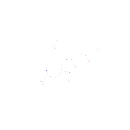 COC(=O)Oc1ccc(C[C@H](N)C(N)=O)cc1OC(=O)OC.Cl